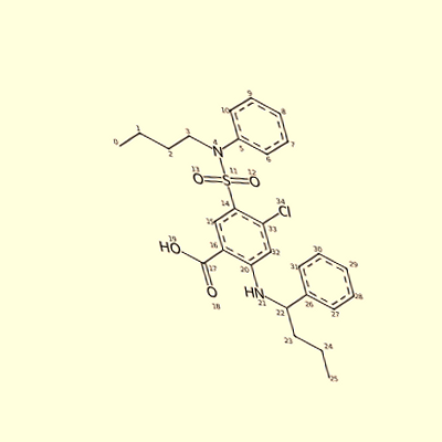 CCCCN(c1ccccc1)S(=O)(=O)c1cc(C(=O)O)c(NC(CCC)c2ccccc2)cc1Cl